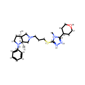 Cn1c(SCCCN2C[C@H]3N(c4ccccc4)CC[C@@]3(C)C2)nnc1C1CCOCC1